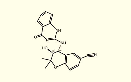 CC1(C)Oc2ccc(C#N)cc2[C@@H](Nc2nc(=O)c3ccccc3[nH]2)[C@@H]1O